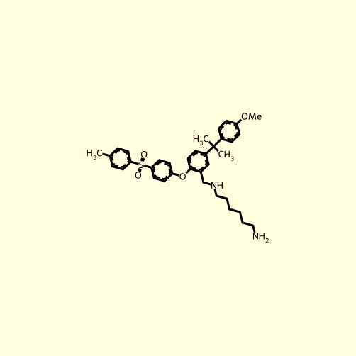 COc1ccc(C(C)(C)c2ccc(Oc3ccc(S(=O)(=O)c4ccc(C)cc4)cc3)c(CNCCCCCCN)c2)cc1